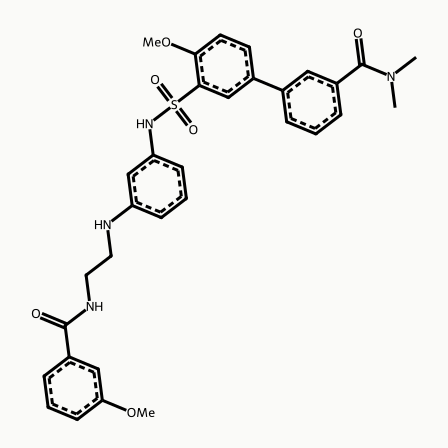 COc1cccc(C(=O)NCCNc2cccc(NS(=O)(=O)c3cc(-c4cccc(C(=O)N(C)C)c4)ccc3OC)c2)c1